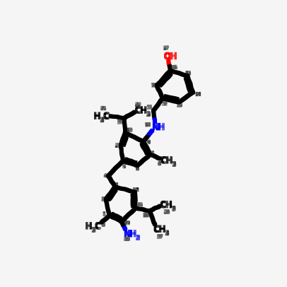 Cc1cc(Cc2cc(C)c(NCc3cccc(O)c3)c(C(C)C)c2)cc(C(C)C)c1N